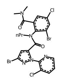 CCCN(C(=O)c1cc(Br)nn1-c1ncccc1Cl)c1c(Br)cc(Cl)cc1C(=O)N(C)C